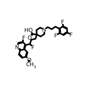 COc1ccc2ncc(F)c(C(F)CCC3(C(=O)O)CCN(CCCc4c(F)cc(F)cc4F)CC3)c2c1